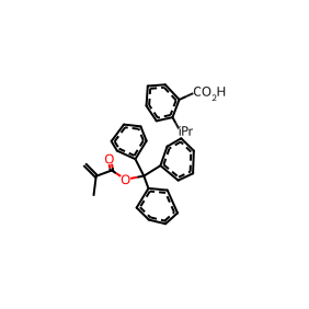 C=C(C)C(=O)OC(c1ccccc1)(c1ccccc1)c1ccccc1.CC(C)c1ccccc1C(=O)O